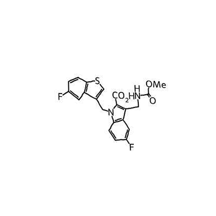 COC(=O)NCc1c(C(=O)O)n(Cc2csc3ccc(F)cc23)c2ccc(F)cc12